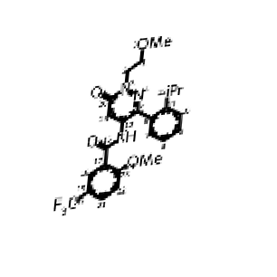 COCCn1nc(-c2ccccc2C(C)C)c(NC(=O)c2cc(C(F)(F)F)ccc2OC)cc1=O